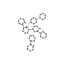 c1ccc(-c2ccc(-n3c4ccccc4c4ccc(-c5ccc6sc7ccccc7c6c5)c(-c5ccc6sc7ccccc7c6c5)c43)cc2)cc1